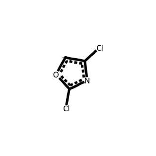 Clc1[c]oc(Cl)n1